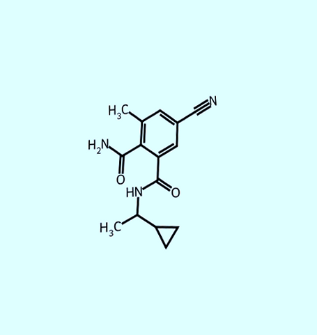 Cc1cc(C#N)cc(C(=O)NC(C)C2CC2)c1C(N)=O